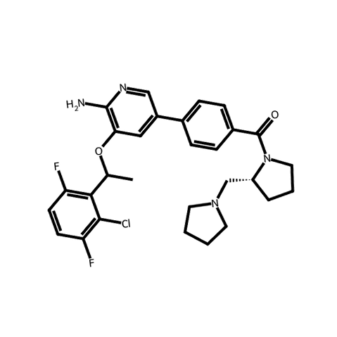 CC(Oc1cc(-c2ccc(C(=O)N3CCC[C@@H]3CN3CCCC3)cc2)cnc1N)c1c(F)ccc(F)c1Cl